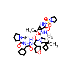 C=C[C@@H]1C[C@]1(NC(=O)[C@@H]1C[C@@]2(CN1C(=O)[C@@H](NC(=O)[C@@H](NC(=O)[C@@H]1CCCCN1C(C)C)C1CCCCC1)C1CCOCC1)C(C)(C)C21CCC1)C(=O)NS(=O)(=O)N1CCCC1